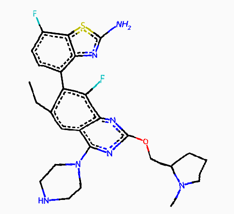 CCc1cc2c(N3CCNCC3)nc(OCC3CCCN3C)nc2c(F)c1-c1ccc(F)c2sc(N)nc12